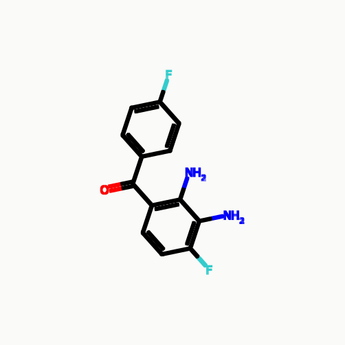 Nc1c(F)ccc(C(=O)c2ccc(F)cc2)c1N